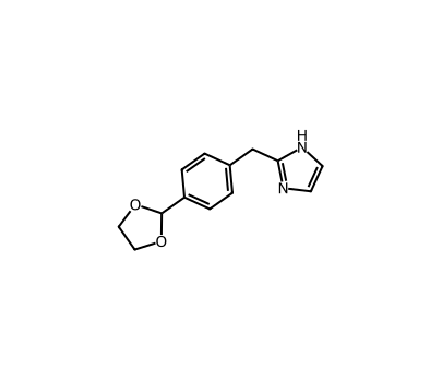 c1c[nH]c(Cc2ccc(C3OCCO3)cc2)n1